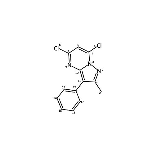 Cc1nn2c(Cl)cc(Cl)nc2c1-c1ccccc1